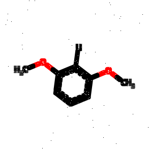 [Li][c]1c(OC)cccc1OC